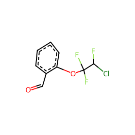 O=Cc1ccccc1OC(F)(F)C(F)Cl